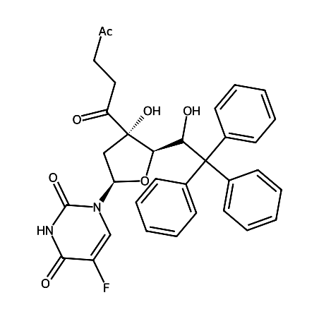 CC(=O)CCC(=O)[C@]1(O)C[C@H](n2cc(F)c(=O)[nH]c2=O)O[C@@H]1C(O)C(c1ccccc1)(c1ccccc1)c1ccccc1